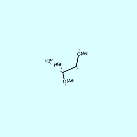 Br.Br.COCCOC